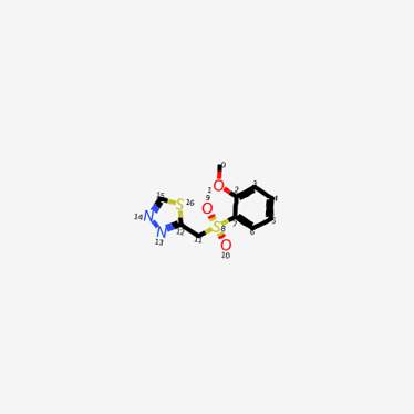 COc1ccccc1S(=O)(=O)Cc1nncs1